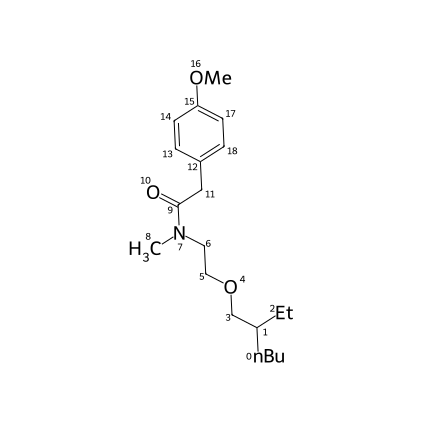 CCCCC(CC)COCCN(C)C(=O)Cc1ccc(OC)cc1